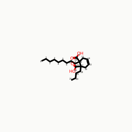 CCCCCCCCCC1(C(=O)O)CC=CCC1(CCCC)C(=O)O